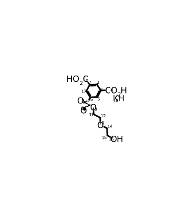 O=C(O)c1cc(C(=O)O)cc(S(=O)(=O)OCCOCCO)c1.[KH]